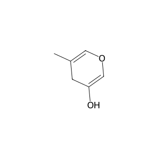 CC1=COC=C(O)C1